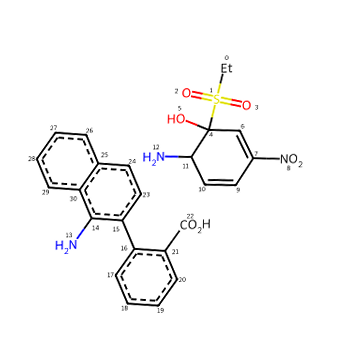 CCS(=O)(=O)C1(O)C=C([N+](=O)[O-])C=CC1N.Nc1c(-c2ccccc2C(=O)O)ccc2ccccc12